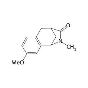 COc1ccc2c(c1)C1CC(C2)C(=O)N1C